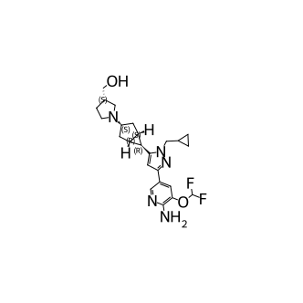 Nc1ncc(-c2cc([C@H]3[C@@H]4C[C@@H](N5CC[C@H](CO)C5)C[C@@H]43)n(CC3CC3)n2)cc1OC(F)F